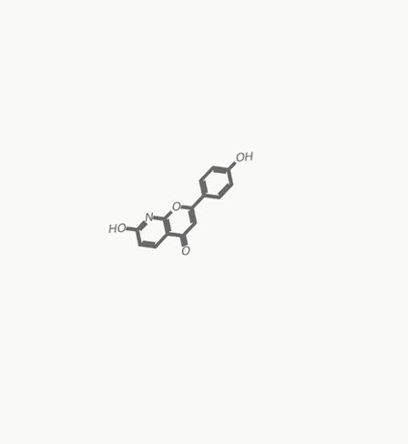 O=c1cc(-c2ccc(O)cc2)oc2nc(O)ccc12